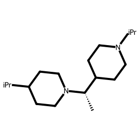 CC(C)C1CCN([C@@H](C)C2CCN(C(C)C)CC2)CC1